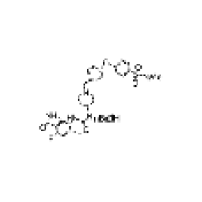 CCCCN(C(=O)Nc1cc(C(N)=O)c(F)cc1F)C1CCN(Cc2ccc(Oc3ccc(S(=O)(=O)NC)cc3)cc2)CC1.Cl